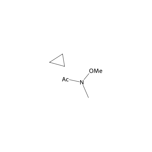 C1CC1.CON(C)C(C)=O